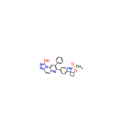 CS(=O)(=O)NC1(c2ccc(-c3nc4ccc5nnc(O)n5c4cc3-c3ccccc3)cc2)CCC1